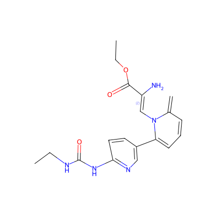 C=C1C=CC=C(c2ccc(NC(=O)NCC)nc2)N1/C=C(\N)C(=O)OCC